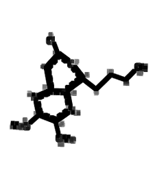 COc1nc2cc(Cl)cc(CCCO)c2nc1OC